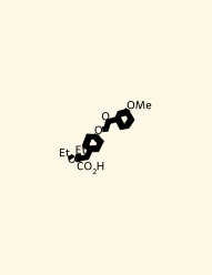 CCOC(CC)(Cc1ccc(OCC(=O)c2cccc(OC)c2)cc1)C(=O)O